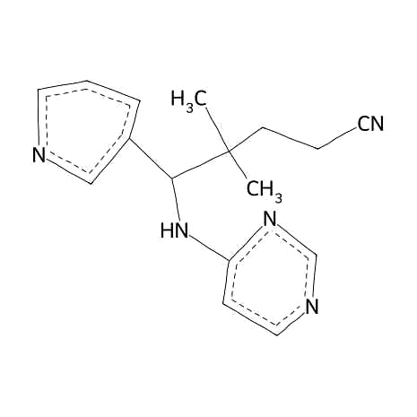 CC(C)(CCC#N)C(Nc1ccncn1)c1cccnc1